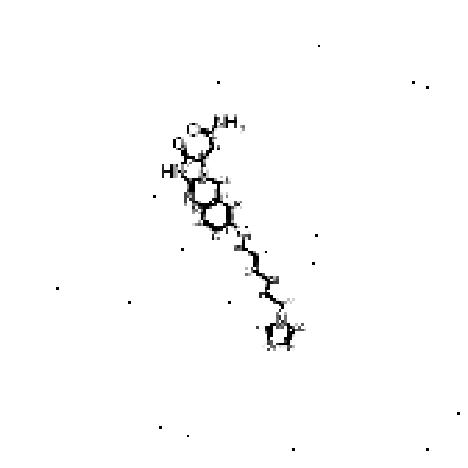 NC(=O)CC1C(=O)NC2=Nc3ccc(OCCCCCCn4ccnc4)cc3CN21